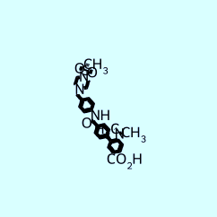 CN(C)c1ccc(C(=O)O)cc1-c1ccc(C(=O)Nc2ccc(CN3CCN(S(C)(=O)=O)CC3)cc2)cc1